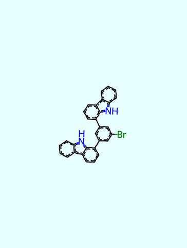 Brc1cc(-c2cccc3c2[nH]c2ccccc23)cc(-c2cccc3c2[nH]c2ccccc23)c1